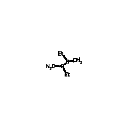 CCB(C)B(C)CC